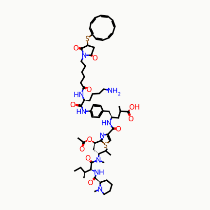 CC[C@H](C)[C@H](NC(=O)[C@H]1CCCCN1C)C(=O)N(C)[C@H](C[C@@H](OC(C)=O)c1nc(C(=O)N[C@@H](Cc2ccc(NC(=O)[C@H](CCCCN)NC(=O)CCCCCN3C(=O)CC(SC4=C/C=C\C=C/C=C\C=C/C=C\4)C3=O)cc2)CC(C)C(=O)O)cs1)C(C)C